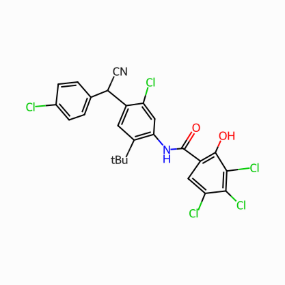 CC(C)(C)c1cc(C(C#N)c2ccc(Cl)cc2)c(Cl)cc1NC(=O)c1cc(Cl)c(Cl)c(Cl)c1O